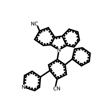 N#Cc1ccc2c(c1)c1ccccc1n2-c1cc(-c2ccncc2)c(C#N)cc1-c1ccccc1